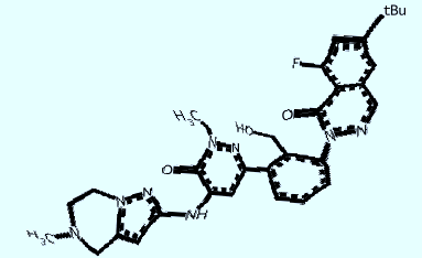 CN1CCn2nc(Nc3cc(-c4cccc(-n5ncc6cc(C(C)(C)C)cc(F)c6c5=O)c4CO)nn(C)c3=O)cc2C1